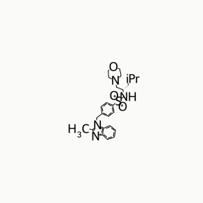 Cc1nc2ccccc2n1Cc1ccc(S(=O)(=O)N[C@@H](CC(C)C)CN2CCOCC2)cc1